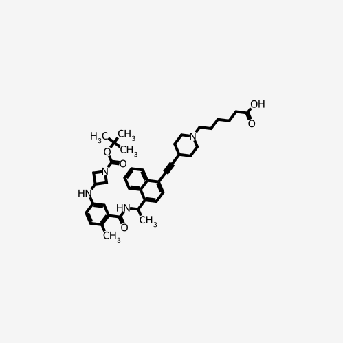 Cc1ccc(NC2CN(C(=O)OC(C)(C)C)C2)cc1C(=O)NC(C)c1ccc(C#CC2CCN(CCCCCC(=O)O)CC2)c2ccccc12